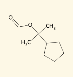 CC(C)(OC=O)C1CCCC1